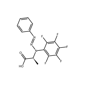 C[C@@H](C(=O)O)N(N=Nc1ccccc1)c1c(F)c(F)c(F)c(F)c1F